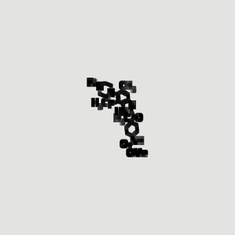 CCN1CCN(c2c(C)cc3nc(C(=O)C4(C)CCC(NC(=O)OC)CC4)[nH]c3c2F)[C@@H](C)C1